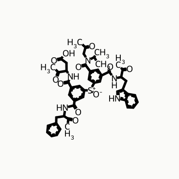 CC(=O)CN(C(=O)c1cc(C(=O)NC(Cc2c[nH]c3ccccc23)C(C)=O)cc([S+]([O-])c2cc(C(=O)NC(CC(=O)O)C(C)=O)cc(C(=O)NC(Cc3ccccc3)C(C)=O)c2)c1)C(C)C